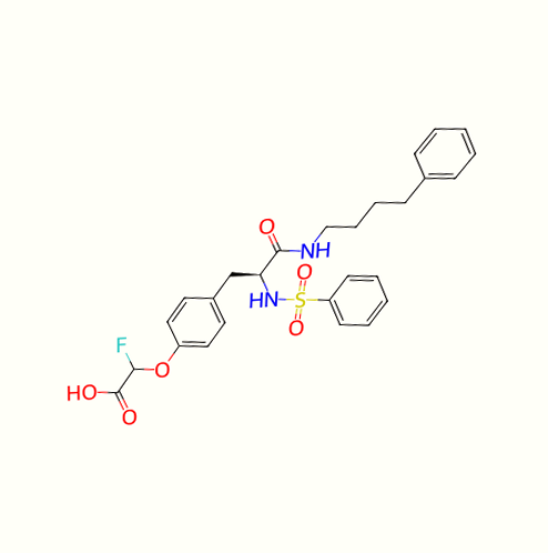 O=C(O)C(F)Oc1ccc(C[C@H](NS(=O)(=O)c2ccccc2)C(=O)NCCCCc2ccccc2)cc1